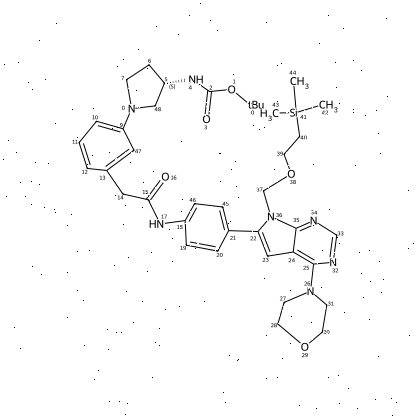 CC(C)(C)OC(=O)N[C@H]1CCN(c2cccc(CC(=O)Nc3ccc(-c4cc5c(N6CCOCC6)ncnc5n4COCC[Si](C)(C)C)cc3)c2)C1